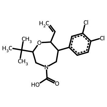 C=CC1OC(C(C)(C)C)CN(C(=O)O)CC1c1ccc(Cl)c(Cl)c1